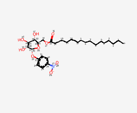 CCCCCCCCCCCCCCCC(=O)OC[C@H]1O[C@H](Oc2ccc([N+](=O)[O-])cc2)[C@H](O)[C@@H](O)[C@@H]1O